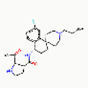 CCC(=O)C1NCCC1C(=O)N[C@H]1CCC2(CCN(CCC(C)(C)C)CC2)c2cc(F)ccc21